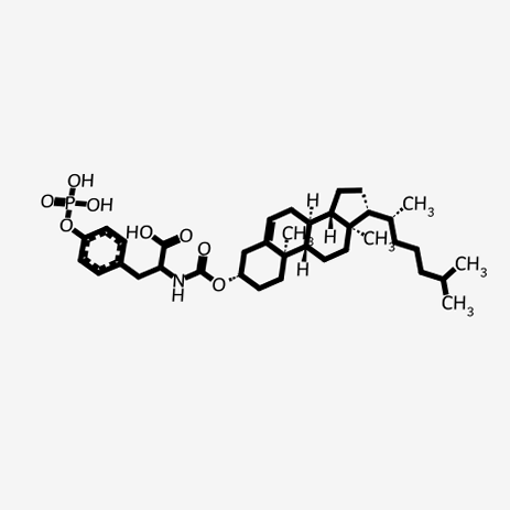 CC(C)CCC[C@@H](C)[C@H]1CC[C@H]2[C@@H]3CC=C4C[C@@H](OC(=O)NC(Cc5ccc(OP(=O)(O)O)cc5)C(=O)O)CC[C@]4(C)[C@H]3CC[C@]12C